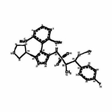 COc1ncnc(OC)c1-n1c(NS(=O)(=O)C(C)C(OC(C)C)c2ncc(F)cn2)nnc1[C@@H]1CCOC1